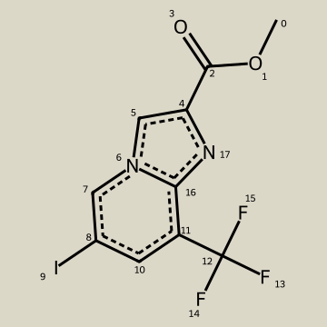 COC(=O)c1cn2cc(I)cc(C(F)(F)F)c2n1